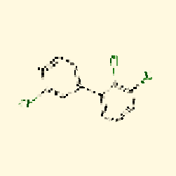 Clc1[c]ccc(-c2cccc(Cl)c2Cl)c1